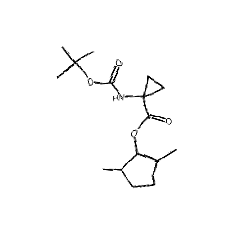 CC1CCC(C)C1OC(=O)C1(NC(=O)OC(C)(C)C)CC1